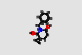 O=C1CCC2(CC2)C(=O)N1Cc1ccccc1